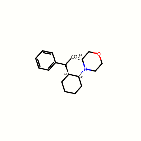 O=C(O)C(c1ccccc1)[C@@H]1CCCC[C@H]1N1CCOCC1